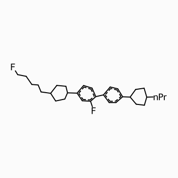 CCCC1CCC(c2ccc(-c3ccc(C4CCC(CCCCCF)CC4)cc3F)cc2)CC1